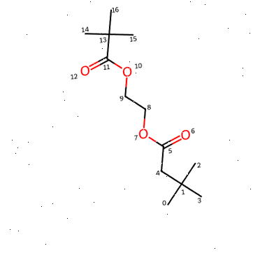 CC(C)(C)CC(=O)OCCOC(=O)C(C)(C)C